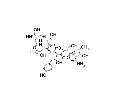 CC(O)C(NC(=O)C1CNC(O)C1O)C(=O)N1CC(O)CC1C(=O)NC(C(=O)NC(CO)C(=O)N1CC(C)C(O)C1C(N)=O)C(O)Cc1ccc(O)cc1